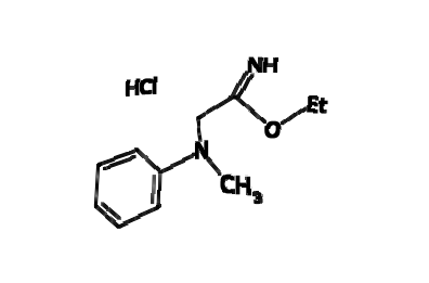 CCOC(=N)CN(C)c1ccccc1.Cl